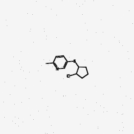 Cc1ccc(SC2CCCC2Cl)cn1